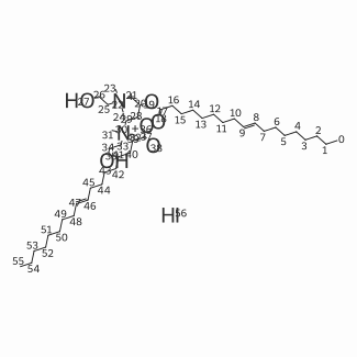 CCCCCCCCC=CCCCCCCCC(=O)OC(C[N+](C)(C)CCO)C(C[N+](C)(C)CCO)OC(=O)CCCCCCCC=CCCCCCCCC.I